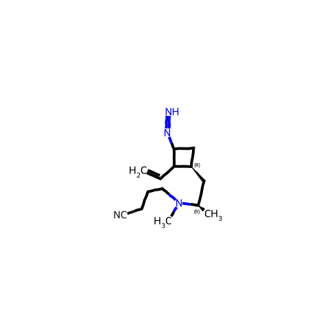 C=CC1C(N=N)C[C@H]1C[C@@H](C)N(C)CCCC#N